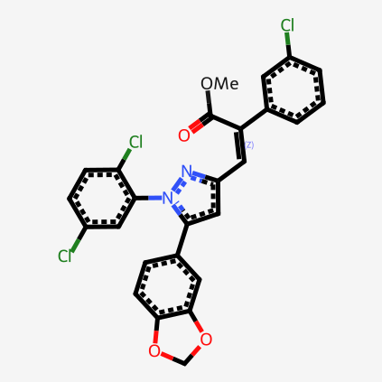 COC(=O)/C(=C\c1cc(-c2ccc3c(c2)OCO3)n(-c2cc(Cl)ccc2Cl)n1)c1cccc(Cl)c1